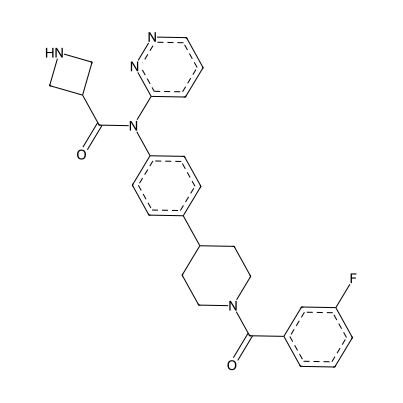 O=C(c1cccc(F)c1)N1CCC(c2ccc(N(C(=O)C3CNC3)c3cccnn3)cc2)CC1